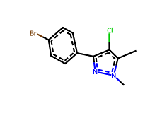 Cc1c(Cl)c(-c2ccc(Br)cc2)nn1C